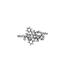 COC(=O)N[C@H](C(=O)NC(Cc1ccccc1)C(CN(CC1CCCCC1)NC(=O)[C@@H](NC(=O)OC)C(C)C)OC(=O)C(C)(C)C)C(C)C